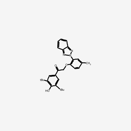 Cc1ccc(OCC(=O)c2cc(C(C)(C)C)c(O)c(C(C)(C)C)c2)c(-n2nc3ccccc3n2)c1